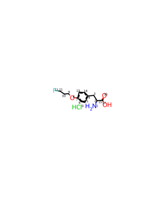 Cl.NC(Cc1ccc(OCCCF)cc1)C(=O)O